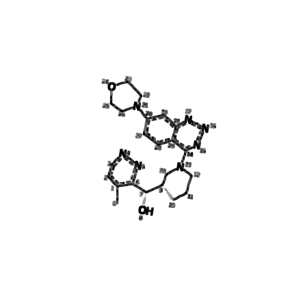 Cc1ccnnc1[C@@H](O)[C@H]1CCCN(c2nnnc3cc(N4CCOCC4)ccc23)C1